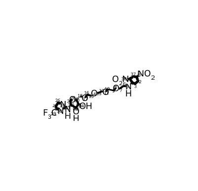 O=[N+]([O-])c1ccc(NCCOCCOCCOCCOC[C@H]2OC[C@H](Nc3nccc(C(F)(F)F)n3)[C@@H](O)[C@H]2O)c([N+](=O)[O-])c1